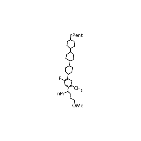 CCCCCC1CCC(C2CCC(C3CCC(C4=C(F)C=C(C(CCC)CCCOC)[C@H](C)C4)CC3)CC2)CC1